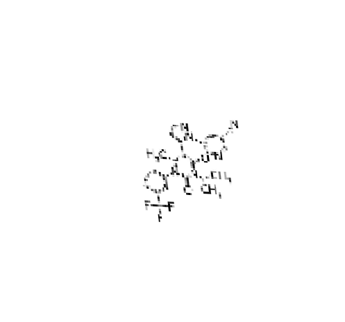 Cc1c(-c2ccnn2-c2cncc(C#N)c2)c(=O)n(C(C)C)c(=O)n1-c1cccc(C(F)(F)F)c1